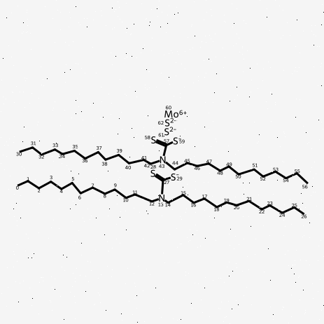 CCCCCCCCCCCCCN(CCCCCCCCCCCCC)C(=S)[S-].CCCCCCCCCCCCCN(CCCCCCCCCCCCC)C(=S)[S-].[Mo+6].[S-2].[S-2]